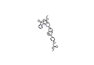 CCOC(=O)COc1ccc(C(=O)CN2CCN(C3CCN(C(=O)OCC)/C(=C4\OC(=O)c5ccccc54)C3)CC2=O)cc1